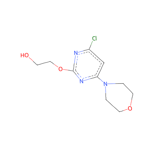 OCCOc1nc(Cl)cc(N2CCOCC2)n1